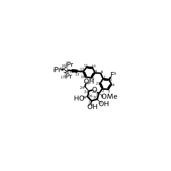 CO[C@@]1(c2ccc(F)c(Cc3ccc(C#C[Si](C(C)C)(C(C)C)C(C)C)cc3)c2)O[C@H](CO)[C@@H](O)[C@H](O)[C@H]1O